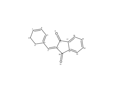 O=C1C(=CC2=CC=CCC2)C(=O)c2ccccc21